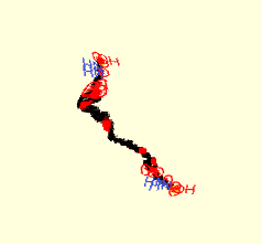 CC1=C(/C=C/C(C)=C/C=C/C(C)=C/C=C/C=C(C)/C=C/C=C(C)/C=C/C2=C(C)C(=O)C(OC(=O)CCNC(=O)NCCS(=O)(=O)O)CC2(C)C)C(C)(C)CC(OC(=O)CCNC(=O)NCCS(=O)(=O)O)C1=O